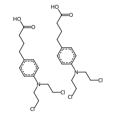 O=C(O)CCCc1ccc(N(CCCl)CCCl)cc1.O=C(O)CCCc1ccc(N(CCCl)CCCl)cc1